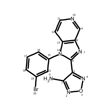 Nc1nonc1-c1nc2cnccc2n1-c1cccc(Br)c1